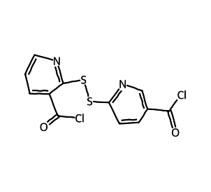 O=C(Cl)c1ccc(SSc2ncccc2C(=O)Cl)nc1